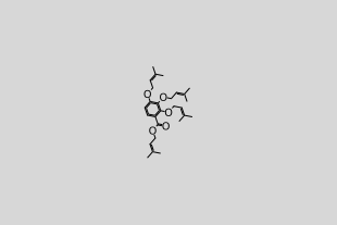 CC(C)=CCOC(=O)c1ccc(OCC=C(C)C)c(OCC=C(C)C)c1OCC=C(C)C